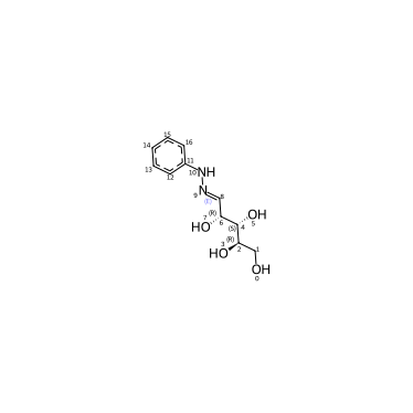 OC[C@@H](O)[C@@H](O)[C@H](O)/C=N/Nc1ccccc1